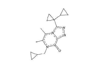 Cc1c(C)n2c(C3(C4CC4)CC3)nnc2c(=O)n1CC1CC1